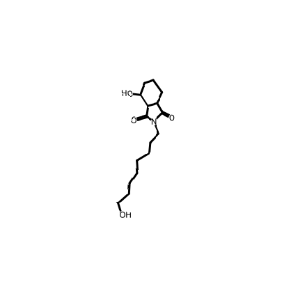 O=C1C2CCCC(O)C2C(=O)N1CCCCCCCCO